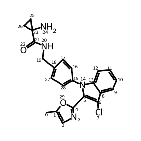 Cc1cnc(-c2c(Cl)c3ccccc3n2-c2ccc(CNC(=O)C3(N)CC3)cc2)o1